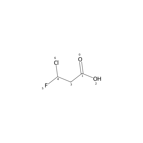 O=C(O)CC(F)Cl